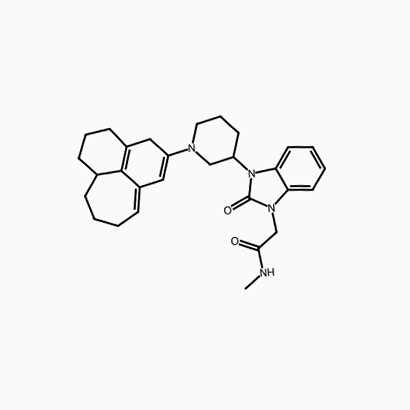 CNC(=O)Cn1c(=O)n(C2CCCN(C3=CC4=CCCCC5CCCC(=C45)C3)C2)c2ccccc21